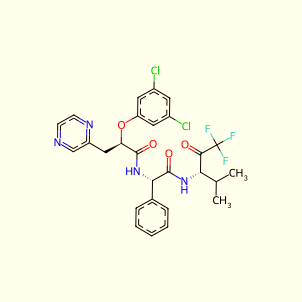 CC(C)[C@H](NC(=O)[C@@H](NC(=O)[C@@H](Cc1cnccn1)Oc1cc(Cl)cc(Cl)c1)c1ccccc1)C(=O)C(F)(F)F